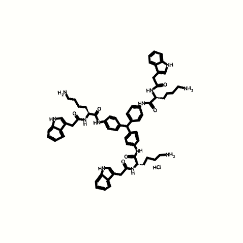 Cl.NCCCC[C@H](NC(=O)Cc1c[nH]c2ccccc12)C(=O)Nc1ccc(C(c2ccc(NC(=O)[C@H](CCCCN)NC(=O)Cc3c[nH]c4ccccc34)cc2)c2ccc(NC(=O)[C@H](CCCCN)NC(=O)Cc3c[nH]c4ccccc34)cc2)cc1